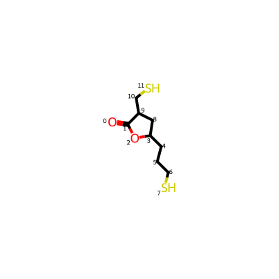 O=C1OC(CCCS)CC1CS